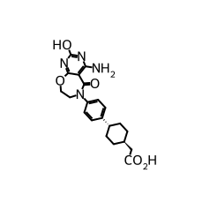 Nc1nc(O)nc2c1C(=O)N(c1ccc([C@H]3CC[C@H](CC(=O)O)CC3)cc1)CCO2